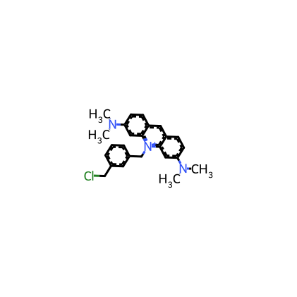 CN(C)c1ccc2cc3ccc(N(C)C)cc3[n+](Cc3cccc(CCl)c3)c2c1